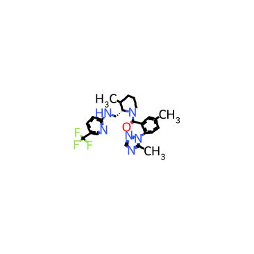 Cc1ccc(-n2ncnc2C)c(C(=O)N2CCCC(C)[C@H]2CNc2ccc(C(F)(F)F)cn2)c1